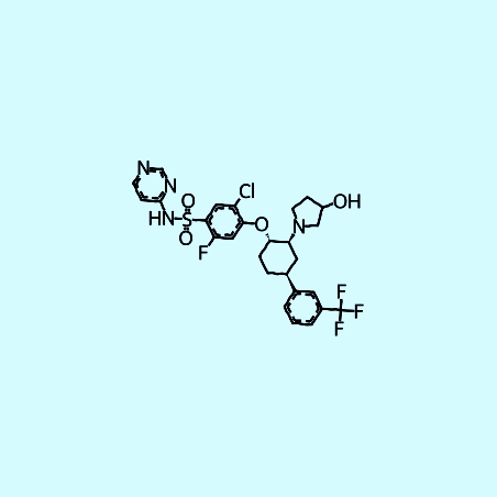 O=S(=O)(Nc1ccncn1)c1cc(Cl)c(O[C@H]2CC[C@H](c3cccc(C(F)(F)F)c3)C[C@@H]2N2CCC(O)C2)cc1F